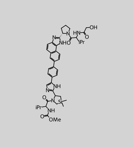 COC(=O)NC(C(=O)N1C[Si](C)(C)CC1c1ncc(-c2ccc(-c3ccc4c(ccc5nc([C@@H]6CCCN6C(=O)C(NC(=O)CO)C(C)C)[nH]c54)c3)cc2)[nH]1)C(C)C